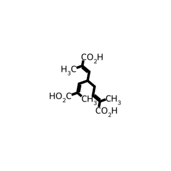 CC(=CCC(C=C(C)C(=O)O)C=C(C)C(=O)O)C(=O)O